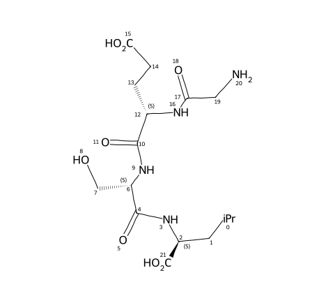 CC(C)C[C@H](NC(=O)[C@H](CO)NC(=O)[C@H](CCC(=O)O)NC(=O)CN)C(=O)O